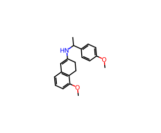 COc1ccc(C(C)NC2=Cc3cccc(OC)c3CC2)cc1